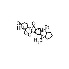 CCNC1CCCCC1N(C)c1ccc2c(c1)C(=O)N(C1CCC(=O)NC1=O)C2=O